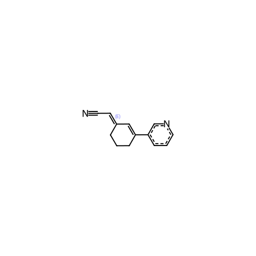 N#C/C=C1/C=C(c2cccnc2)CCC1